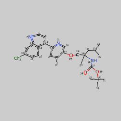 Cc1cc(-c2ccnc3cc(Cl)ccc23)ncc1OCC(C)(CC(C)C)NC(=O)OC(C)(C)C